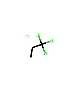 CCC(Cl)(Cl)Cl.Cl